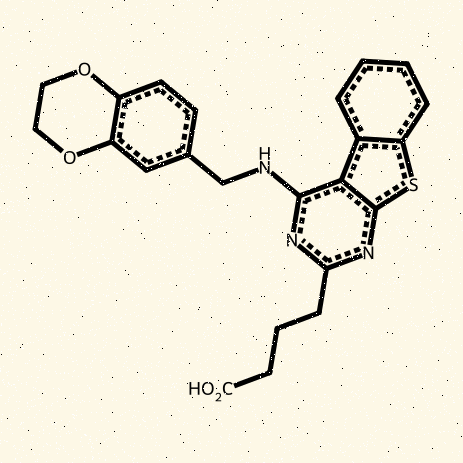 O=C(O)CCCc1nc(NCc2ccc3c(c2)OCCO3)c2c(n1)sc1ccccc12